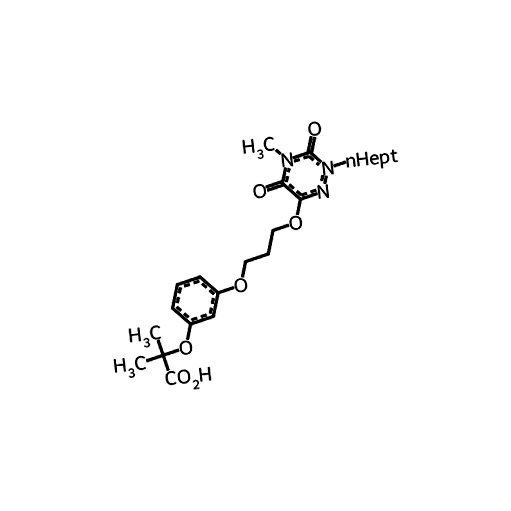 CCCCCCCn1nc(OCCCOc2cccc(OC(C)(C)C(=O)O)c2)c(=O)n(C)c1=O